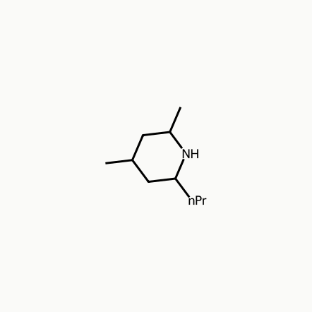 CCCC1CC(C)CC(C)N1